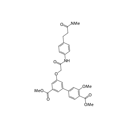 CNC(=O)CCc1ccc(NC(=O)COc2cc(C(=O)OC)cc(-c3ccc(C(=O)OC)c(OC)c3)c2)cc1